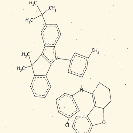 Cc1cc(N(C2=C3c4ccccc4OC3CCC2)c2cccc(Cl)c2)cc(-n2c3c(c4cc(C(C)(C)C)ccc42)C(C)(C)c2ccccc2-3)c1